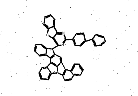 c1ccc(-c2ccc(-c3nc(-n4c5ccccc5c5c6c7ccccc7n7c8ccc9ccccc9c8c(cc54)c67)c4oc5ccccc5c4n3)cc2)cc1